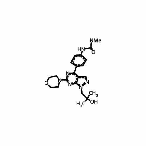 CNC(=O)Nc1ccc(-c2nc(N3CCOCC3)nc3c2cnn3CC(C)(C)O)cc1